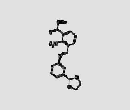 COC(=O)c1cccc(C=Nc2cccc(C3OCCO3)c2)c1[N+](=O)[O-]